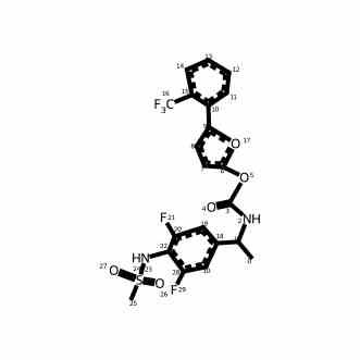 CC(NC(=O)Oc1ccc(-c2ccccc2C(F)(F)F)o1)c1cc(F)c(NS(C)(=O)=O)c(F)c1